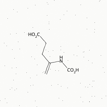 C=C(CCC(=O)O)NC(=O)O